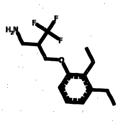 CCc1cccc(OCC(CN)C(F)(F)F)c1CC